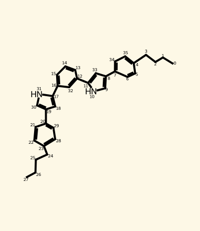 CCCCc1ccc(-c2c[nH]c(-c3cccc(-c4cc(-c5ccc(CCCC)cc5)c[nH]4)c3)c2)cc1